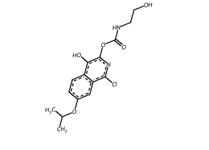 CC(C)Oc1ccc2c(O)c(OC(=O)NCCO)nc(Cl)c2c1